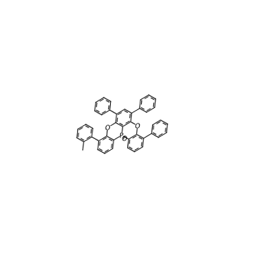 Cc1ccccc1-c1cccc2c1Oc1c(-c3ccccc3)cc(-c3ccccc3)c3c1P2(=O)c1cccc(-c2ccccc2)c1O3